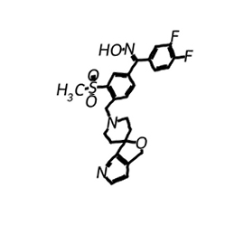 CS(=O)(=O)c1cc(/C(=N\O)c2ccc(F)c(F)c2)ccc1CN1CCC2(CC1)OCc1ccncc12